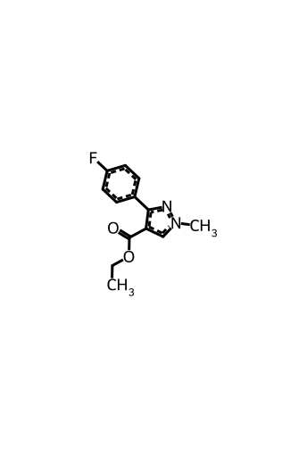 CCOC(=O)c1cn(C)nc1-c1ccc(F)cc1